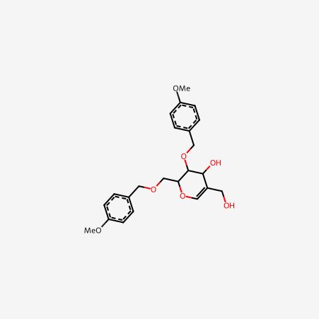 COc1ccc(COCC2OC=C(CO)C(O)C2OCc2ccc(OC)cc2)cc1